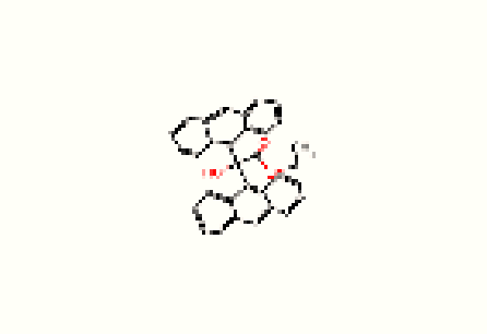 CCOC(=O)C(O)(c1c2ccccc2cc2ccccc12)c1c2ccccc2cc2ccccc12